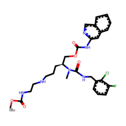 CN(C(=O)NCc1cccc(F)c1Cl)[C@@H](CCCNCCNC(=O)OC(C)(C)C)COC(=O)Nc1cc2ccccc2cn1